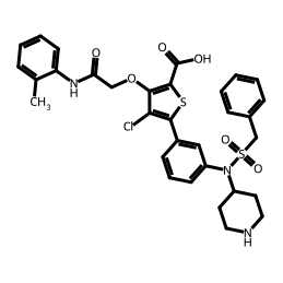 Cc1ccccc1NC(=O)COc1c(C(=O)O)sc(-c2cccc(N(C3CCNCC3)S(=O)(=O)Cc3ccccc3)c2)c1Cl